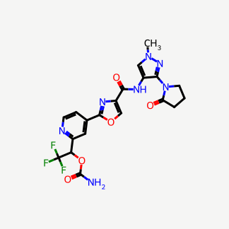 Cn1cc(NC(=O)c2coc(-c3ccnc(C(OC(N)=O)C(F)(F)F)c3)n2)c(N2CCCC2=O)n1